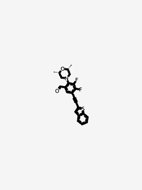 C[C@@H]1CN(c2c(C=O)cc(C#Cc3cc4ccccc4s3)c(F)c2F)C[C@H](C)O1